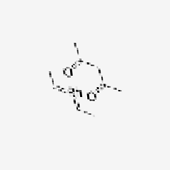 CC(=O)CC(C)=O.C[CH]=[Rh]=[CH]C